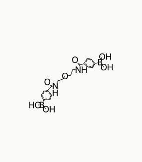 O=C(NCCOCCNC(=O)c1ccc(B(O)O)cc1)c1ccc(B(O)O)cc1